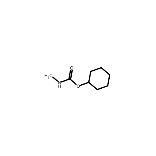 CNC(=O)OC1CC[CH]CC1